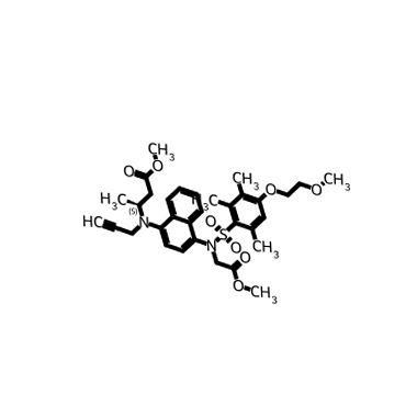 C#CCN(c1ccc(N(CC(=O)OC)S(=O)(=O)c2c(C)cc(OCCOC)c(C)c2C)c2ccccc12)[C@@H](C)CC(=O)OC